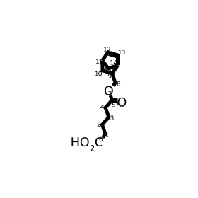 O=C(O)CCCCC(=O)OCC1CC2C=CC1C2